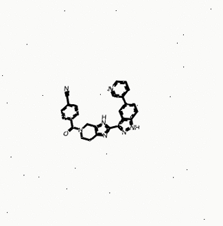 N#Cc1ccc(C(=O)N2CCc3nc(-c4n[nH]c5ccc(-c6cccnc6)cc45)[nH]c3C2)cc1